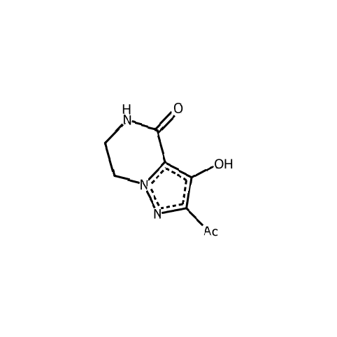 CC(=O)c1nn2c(c1O)C(=O)NCC2